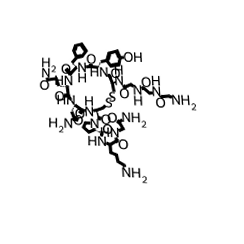 NCCCCC(NC(=O)[C@@H]1CCCN1C(=O)[C@@H]1CSSC[C@H](NC(=O)CNC(=O)CNC(=O)CN)C(=O)N[C@@H](Cc2ccc(O)cc2)C(=O)N[C@@H](Cc2ccccc2)C(=O)N[C@@H](CCC(N)=O)C(=O)N[C@@H](CC(N)=O)C(=O)N1)C(=O)NCC(N)=O